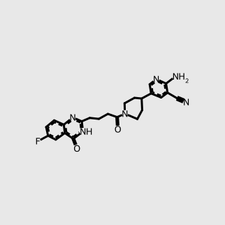 N#Cc1cc(C2CCN(C(=O)CCCc3nc4ccc(F)cc4c(=O)[nH]3)CC2)cnc1N